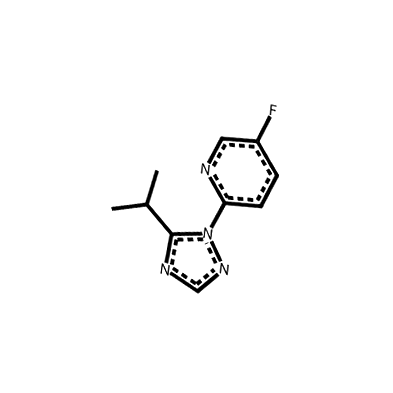 CC(C)c1ncnn1-c1ccc(F)cn1